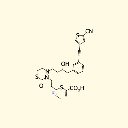 C=C(S/C(=C\C)CCN1C(=O)SCCN1CCC(O)Cc1cccc(C#Cc2csc(C#N)c2)c1)C(=O)O